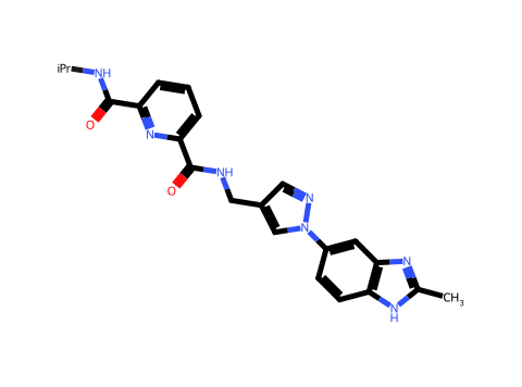 Cc1nc2cc(-n3cc(CNC(=O)c4cccc(C(=O)NC(C)C)n4)cn3)ccc2[nH]1